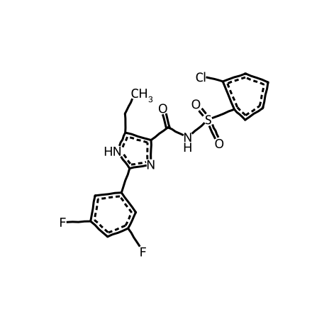 CCc1[nH]c(-c2cc(F)cc(F)c2)nc1C(=O)NS(=O)(=O)c1ccccc1Cl